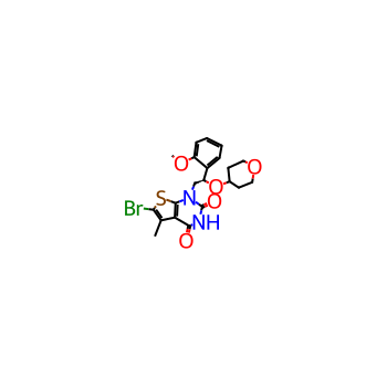 COc1ccccc1[C@H](Cn1c(=O)[nH]c(=O)c2c(C)c(Br)sc21)OC1CCOCC1